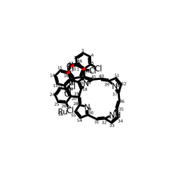 Clc1cccc(Cl)c1-c1c(-c2c(Cl)cccc2Cl)c2c(-c3c(Cl)cccc3Cl)c3nc(cc4ccc(cc5nc(cc1n2-c1c(Cl)cccc1Cl)C=C5)[nH]4)C=C3.[Ru]